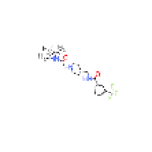 CC(C)(C)NC(=O)CN1CCC(CNC(=O)c2cccc(C(F)(F)F)c2)CC1